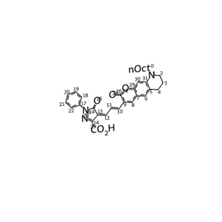 CCCCCCCCN1CCCc2cc3cc(/C=C/C=C4\C(=O)N(c5ccccc5)N=C4C(=O)O)c(=O)oc3cc21